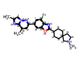 Cc1cn2nc(-c3cc(F)c4nc(C5CCC6(CC5)CCN(C)C6)oc4c3)cc(C)c2n1